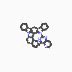 Cc1nc(-n2c3ccccc3c3cc4c5ccccc5n5c6ccc7ccccc7c6c(c32)c45)nc2cccnc12